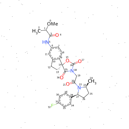 COC(C)C(=O)Nc1ccc2c(c1)CC[C@@]21OC(=O)N(CC(=O)N2[C@@H](C)CC[C@H]2c2ccc(F)cc2)C1=O